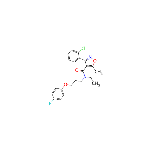 CCN(CCCOc1ccc(F)cc1)C(=O)c1c(-c2ccccc2Cl)noc1C